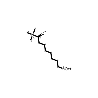 CCCCCCCCCCCCCCCC(=O)[N+](C)(C)C